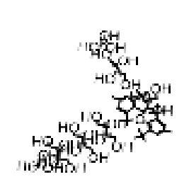 Cc1cc(C(C)(C)C)c(OC(c2c(C(C)(C)C)cc(C)cc2C(C)(C)C)[C@H](O)[C@H](O)CO)c(C(C)(C)C)c1.OC[C@@H](O)[C@@H](O)CO.OC[C@@H](O)[C@@H](O)CO.OC[C@@H](O)[C@@H](O)CO.OC[C@@H](O)[C@@H](O)CO.OP(O)O.OP(O)O